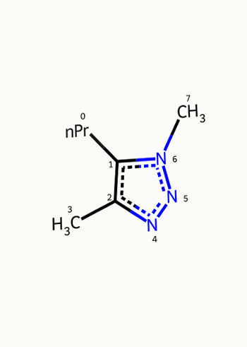 CCCc1c(C)nnn1C